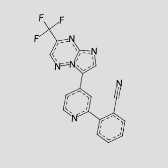 N#Cc1ccccc1-c1cc(-c2cnc3nc(C(F)(F)F)cnn23)ccn1